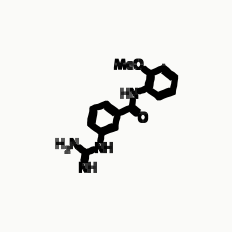 COc1[c]cccc1NC(=O)c1cccc(NC(=N)N)c1